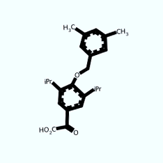 Cc1cc(C)cc(COc2c(C(C)C)cc(C(=O)C(=O)O)cc2C(C)C)c1